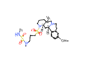 CCNS(=O)(=O)N(C)CCCS(=O)(=O)N1CCC[C@@H]2CN3CCc4cc(OC)ccc4[C@@H]3C[C@@H]21